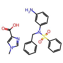 Cn1cnc(C(=O)O)c1.Nc1cccc(N(Cc2ccccc2)S(=O)(=O)c2ccccc2)c1